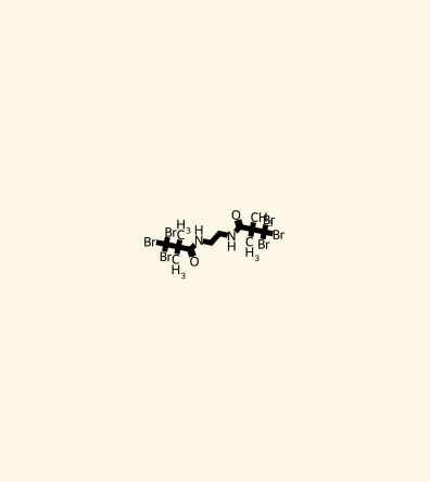 CC(C)(C(=O)NCCNC(=O)C(C)(C)C(Br)(Br)Br)C(Br)(Br)Br